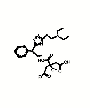 CCC(c1ccccc1)c1noc(CCN(CC)CC)n1.O=C(O)CC(O)(CC(=O)O)C(=O)O